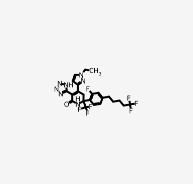 CCn1ccc(C2=C(c3nnn[nH]3)C(=O)NC(c3ccc(CCCCC(F)(F)F)cc3F)(C(F)(F)F)C2)n1